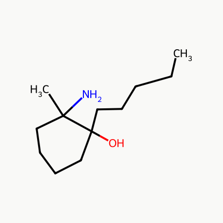 CCCCCC1(O)CCCCC1(C)N